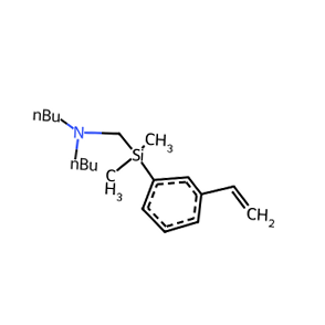 C=Cc1cccc([Si](C)(C)CN(CCCC)CCCC)c1